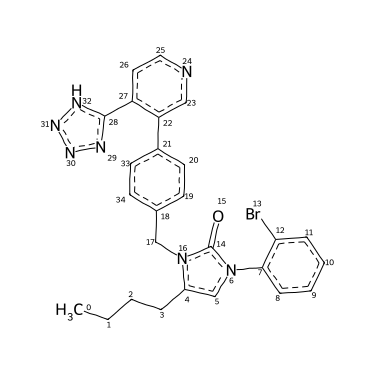 CCCCc1cn(-c2ccccc2Br)c(=O)n1Cc1ccc(-c2cnccc2-c2nnn[nH]2)cc1